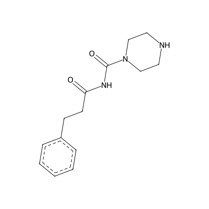 O=C(CCc1ccccc1)NC(=O)N1CCNCC1